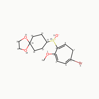 COC1=CC=C(Br)CC=C1[S+]([O-])C1CCC2(CC1)OCCO2